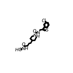 O=C(CCCC1CCN(C(=O)NCc2csc3ccc(Cl)cc23)CC1)NO